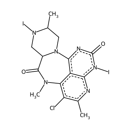 Cc1nc2c3c(nc(=O)n2I)N2CC(C)N(I)CC2C(=O)N(C)c3c1Cl